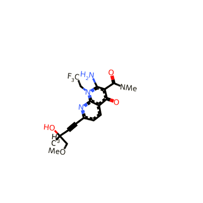 CNC(=O)c1c(N)n(CC(F)(F)F)c2nc(C#CC(C)(O)COC)ccc2c1=O